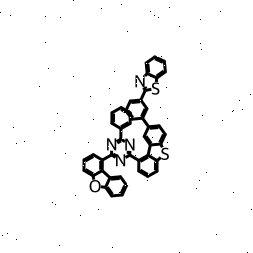 c1ccc(-c2nc(-c3cccc4oc5ccccc5c34)nc(-c3cccc4sc5ccc(-c6cccc(-c7nc8ccccc8s7)c6)cc5c34)n2)cc1